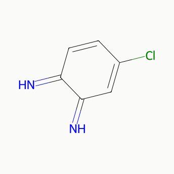 N=C1C=CC(Cl)=CC1=N